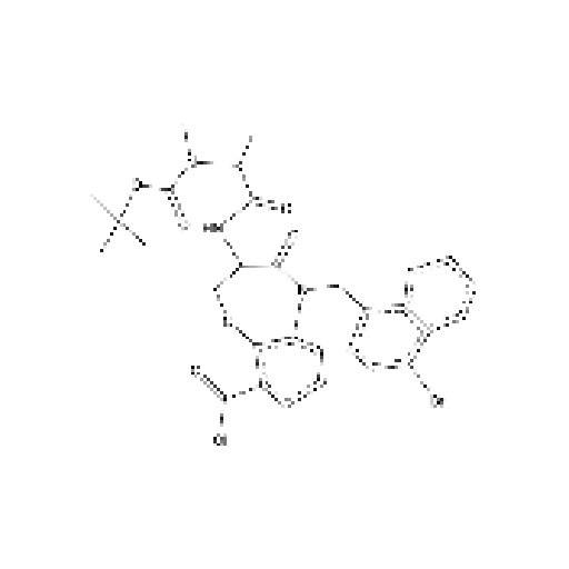 CC(C(=O)NC1COc2c(C(=O)O)cccc2N(Cc2ccc(Br)c3ccccc23)C1=O)N(C)C(=O)OC(C)(C)C